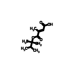 BC(B)(OC(=O)/C(C)=C/C(=O)O)C(C)C